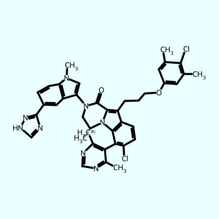 Cc1cc(OCCCc2c3n(c4c(-c5c(C)ncnc5C)c(Cl)ccc24)[C@H](C)CN(c2cn(C)c4ccc(-c5nc[nH]n5)cc24)C3=O)cc(C)c1Cl